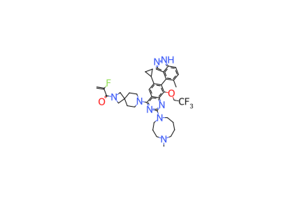 C=C(F)C(=O)N1CC2(CCN(c3nc(N4CCCCN(C)CCC4)nc4c(OCC(F)(F)F)c(-c5c(C)ccc6[nH]ncc56)c(C5CC5)cc34)CC2)C1